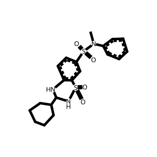 CN(c1ccccc1)S(=O)(=O)c1ccc2c(c1)S(=O)(=O)NC(C1CCCCC1)N2